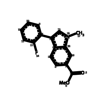 COC(=O)c1ccc2c(-c3ccccc3F)cn(C)c2c1